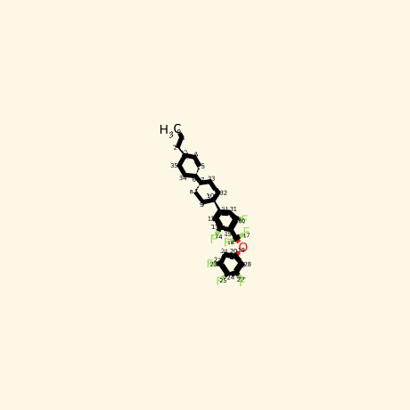 CCC[C@H]1CC[C@H]([C@H]2CC[C@H](c3cc(F)c(C(F)(F)Oc4cc(F)c(F)c(F)c4)c(F)c3)CC2)CC1